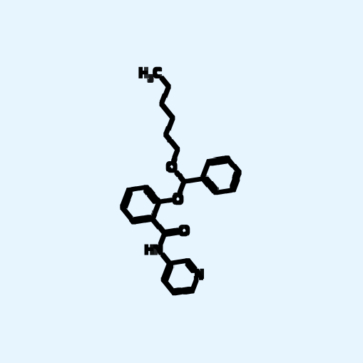 CCCCCCOC(Oc1ccccc1C(=O)Nc1cccnc1)c1ccccc1